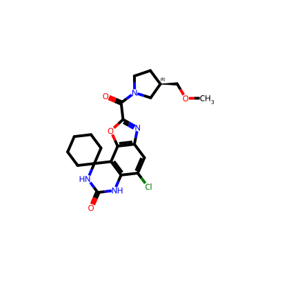 COC[C@@H]1CCN(C(=O)c2nc3cc(Cl)c4c(c3o2)C2(CCCCC2)NC(=O)N4)C1